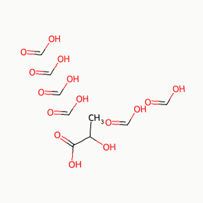 CC(O)C(=O)O.O=CO.O=CO.O=CO.O=CO.O=CO.O=CO